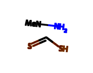 CNN.S=CS